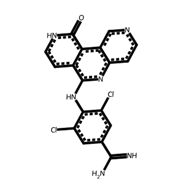 N=C(N)c1cc(Cl)c(Nc2nc3ccncc3c3c(=O)[nH]ccc23)c(Cl)c1